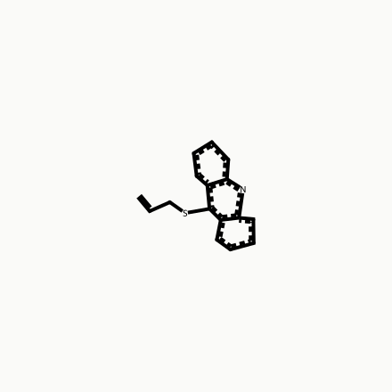 C=CCSc1c2ccccc2nc2ccccc12